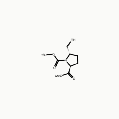 COC(=O)[C@@H]1CC[C@@H](CO)N1C(=O)OC(C)(C)C